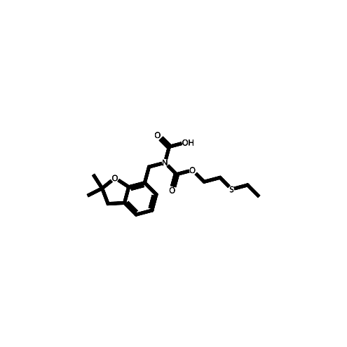 CCSCCOC(=O)N(Cc1cccc2c1OC(C)(C)C2)C(=O)O